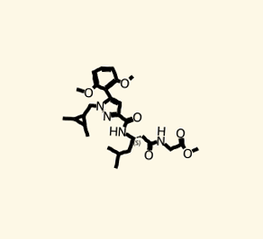 COC(=O)CNC(=O)C[C@H](CC(C)C)NC(=O)c1cc(-c2c(OC)cccc2OC)n(CC2C(C)C2C)n1